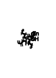 CCCC[PH](CCCC)(CCCC)CC(=O)O.[Zn]